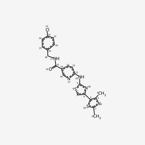 Cc1nc(C)c(-c2csc(Nc3ccc(C(=O)NCc4ccc(Cl)cc4)cn3)n2)s1